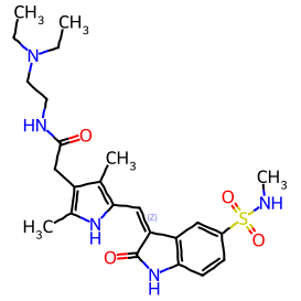 CCN(CC)CCNC(=O)Cc1c(C)[nH]c(/C=C2\C(=O)Nc3ccc(S(=O)(=O)NC)cc32)c1C